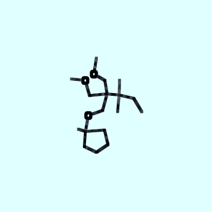 CCC(C)(C)C(COC)(COC)COC1(C)CCCC1